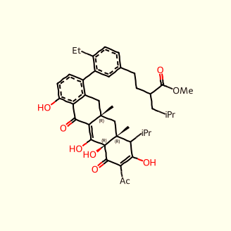 CCc1ccc(CCC(CC(C)C)C(=O)OC)cc1-c1ccc(O)c2c1C[C@]1(C)C[C@]3(C)C(C(C)C)C(O)=C(C(C)=O)C(=O)[C@]3(O)C(O)=C1C2=O